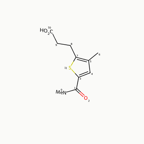 CNC(=O)c1cc(C)c(CCC(=O)O)s1